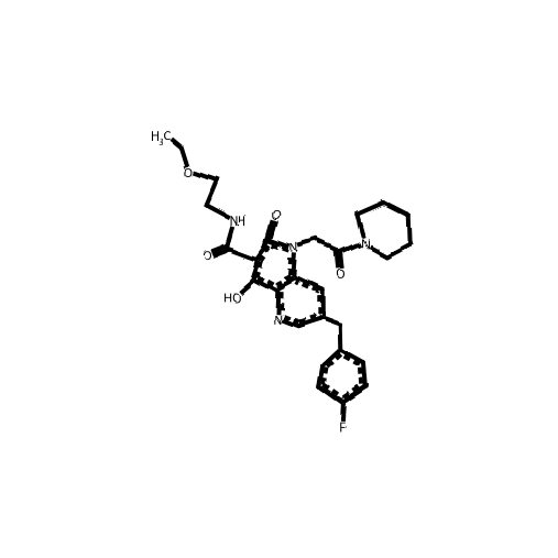 CCOCCNC(=O)c1c(O)c2ncc(Cc3ccc(F)cc3)cc2n(CC(=O)N2CCCCC2)c1=O